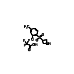 O=C(O)C(F)(F)F.O=S(=O)(c1ccc(C(F)(F)F)cc1Cl)C1CNC1